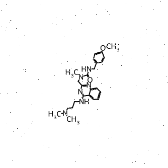 COc1ccc(CNC(=O)N(C)Cc2nc(NCCCN(C)C)c3ccccc3n2)cc1